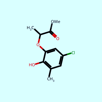 COC(=O)C(C)Oc1cc(Cl)cc(C)c1O